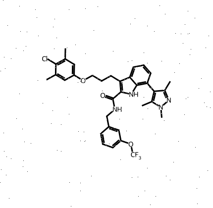 Cc1cc(OCCCc2c(C(=O)NCc3cccc(OC(F)(F)F)c3)[nH]c3c(-c4c(C)nn(C)c4C)cccc23)cc(C)c1Cl